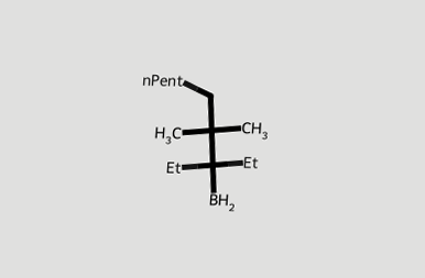 BC(CC)(CC)C(C)(C)CCCCCC